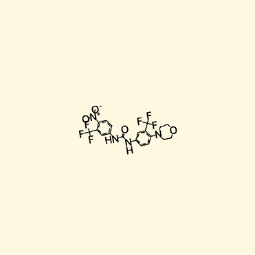 O=C(Nc1ccc(N2CCOCC2)c(C(F)(F)F)c1)Nc1ccc([N+](=O)[O-])c(C(F)(F)F)c1